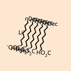 CCCCCCCCCCCCCCCCCC(=O)O.CCCCCCCCCCCCCCCCCC(=O)O.CCCCCCCCCCCCCCCCCC(=O)O.CCCCCCCCCCCCCCCCCC(=O)O.CCCCCCCCCCCCCCCCCC(=O)[O-].[Li+]